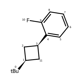 CC(C)(C)[C@H]1C[C@@H](c2ccccc2F)C1